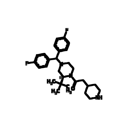 CC(C)(C)[C@H]1CN(C(c2ccc(F)cc2)c2ccc(F)cc2)CCN1C(=O)CC1CCNCC1